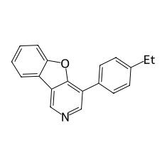 CCc1ccc(-c2cncc3c2oc2ccccc23)cc1